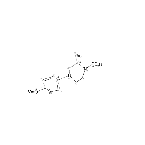 COc1ccc(N2CCN(C(=O)O)C(C(C)(C)C)C2)cc1